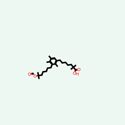 Cc1cc(CCCCCC(C)(C)C(=O)O)c(C)c(CCCCCC(C)(C)OC=O)c1C